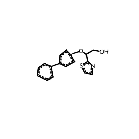 OCC(Oc1ccc(-c2ccccc2)cc1)c1nccs1